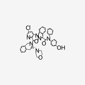 O=C(c1nn(-c2cc(Cl)cnc2C(=O)N2Cc3ccccc3C[C@H]2CN2CCOCC2)c2ccccc12)N(c1ccccc1)c1ccc(O)cc1